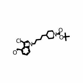 CC(C)(C)OC(=O)N1CCC(CCCCn2cc(Cl)c3c(C=O)cccc32)CC1